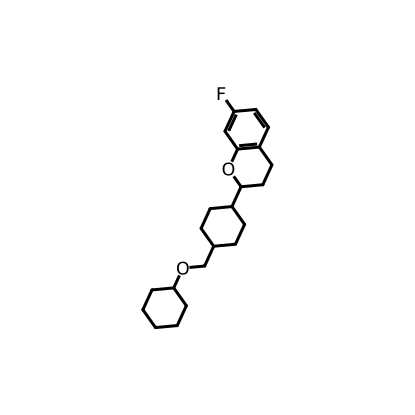 Fc1ccc2c(c1)OC(C1CCC(COC3CCCCC3)CC1)CC2